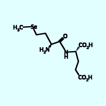 C[Se]CC[C@H](N)C(=O)N[C@@H](CCC(=O)O)C(=O)O